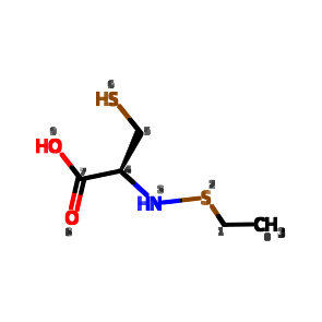 CCSN[C@H](CS)C(=O)O